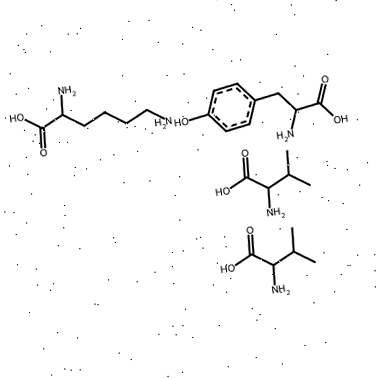 CC(C)C(N)C(=O)O.CC(C)C(N)C(=O)O.NC(Cc1ccc(O)cc1)C(=O)O.NCCCCC(N)C(=O)O